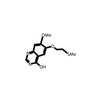 COc1cc2ncnc(O)c2cc1OCCSC